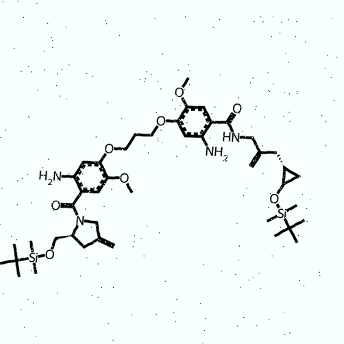 C=C(CNC(=O)c1cc(OC)c(OCCCOc2cc(N)c(C(=O)N3CC(=C)C[C@H]3CO[Si](C)(C)C(C)(C)C)cc2OC)cc1N)C[C@@H]1CC1O[Si](C)(C)C(C)(C)C